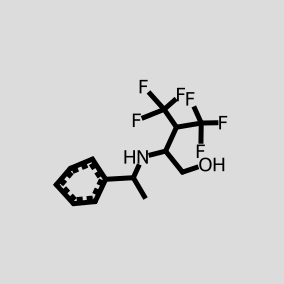 CC(NC(CO)C(C(F)(F)F)C(F)(F)F)c1ccccc1